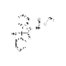 COC(=O)NNC(=O)C(O)(c1ccccc1)c1ccccc1